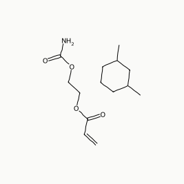 C=CC(=O)OCCOC(N)=O.CC1CCCC(C)C1